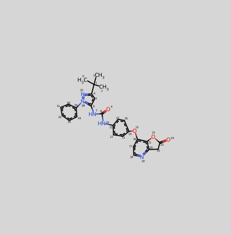 CC(C)(C)c1cc(NC(=O)Nc2ccc(Oc3ccnc4c3OC(=O)C4)cc2)n(-c2ccccc2)n1